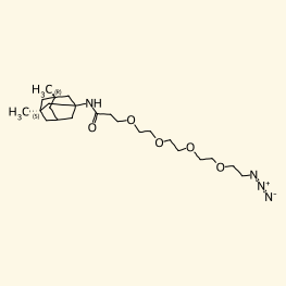 C[C@]12CC3CC(NC(=O)CCOCCOCCOCCOCCN=[N+]=[N-])(C1)C[C@@](C)(C3)C2